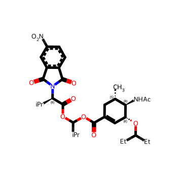 CCC(CC)O[C@@H]1C=C(C(=O)OC(OC(=O)[C@@H](C(C)C)N2C(=O)c3ccc([N+](=O)[O-])cc3C2=O)C(C)C)C[C@H](C)[C@H]1NC(C)=O